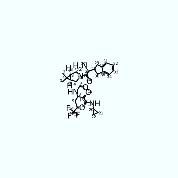 CC1(C)[C@@H]2[C@@H](C(=O)NC(CCC(F)(F)F)C(=O)C(=O)NC3CC3)N(C(=O)[C@@H](N)C3Cc4ccccc4C3)C[C@@H]21